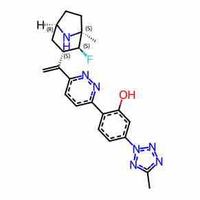 C=C(c1ccc(-c2ccc(-n3nnc(C)n3)cc2O)nn1)[C@@H]1C[C@H]2CC[C@](C)(N2)[C@H]1F